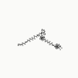 CC(=O)CC(=O)OC(COCCCCCCCCCCCCCCC(C)C)COP(=O)([O-])OCCCCCCCCCC[N+](C)(C)C